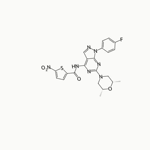 C[C@@H]1CN(c2nc(NC(=O)c3ccc([N+](=O)[O-])s3)c3cnn(-c4ccc(F)cc4)c3n2)C[C@H](C)O1